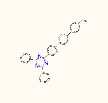 C=Cc1ccc(-c2ccc(-c3ccc(-c4nc(-c5ccccc5)nc(-c5ccccc5)n4)cc3)cc2)cc1